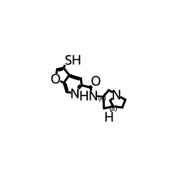 O=C(N[C@@H]1C[C@@H]2CCN(C2)C1)c1cc2c(S)coc2cn1